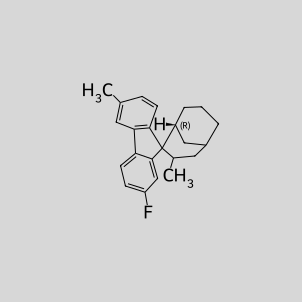 Cc1ccc2c(c1)-c1ccc(F)cc1C21C(C)CC2CCC[C@@H]1C2